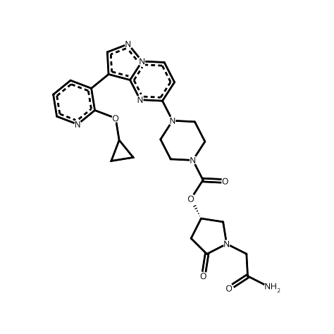 NC(=O)CN1C[C@@H](OC(=O)N2CCN(c3ccn4ncc(-c5cccnc5OC5CC5)c4n3)CC2)CC1=O